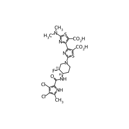 Cc1[nH]c(C(=O)N[C@@H]2CCN(c3nc(-c4nc(N(C)C)sc4C(=O)O)c(C(=O)O)s3)C[C@@H]2F)c(Cl)c1Cl